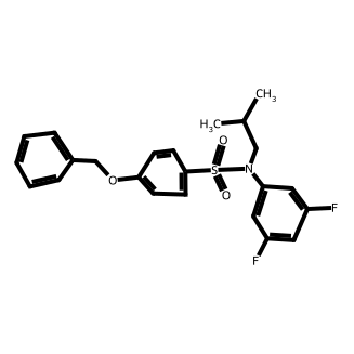 CC(C)CN(c1cc(F)cc(F)c1)S(=O)(=O)c1ccc(OCc2ccccc2)cc1